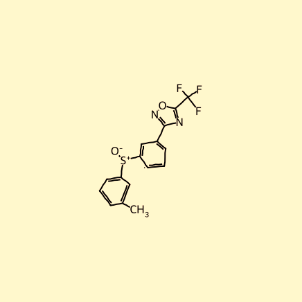 Cc1cccc([S+]([O-])c2[c]ccc(-c3noc(C(F)(F)F)n3)c2)c1